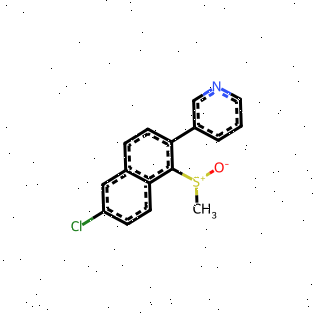 C[S+]([O-])c1c(-c2cccnc2)ccc2cc(Cl)ccc12